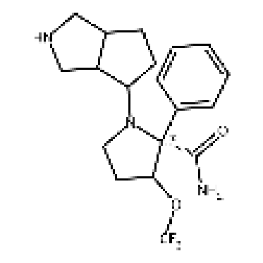 NC(=O)[C@]1(c2ccccc2)C(OC(F)(F)F)CCN1C1CCC2CNCC21